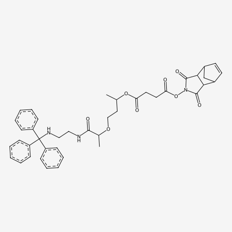 CC(CCOC(C)C(=O)NCCNC(c1ccccc1)(c1ccccc1)c1ccccc1)OC(=O)CCC(=O)ON1C(=O)C2C3C=CC(C3)C2C1=O